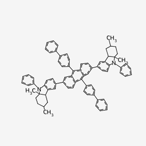 CC1CCC2(C)C(C1)c1cc(-c3ccc4c(-c5ccc(-c6ccccc6)cc5)c5cc(-c6ccc7c(c6)C6CC(C)CCC6(C)N7c6ccccc6)ccc5c(-c5ccc(-c6ccccc6)cc5)c4c3)ccc1N2c1ccccc1